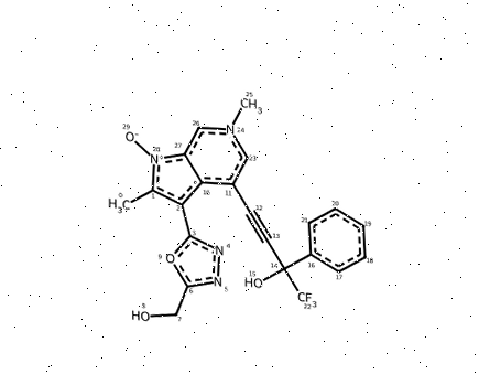 Cc1c(-c2nnc(CO)o2)c2c(C#CC(O)(c3ccccc3)C(F)(F)F)cn(C)cc-2[n+]1[O-]